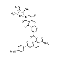 COc1ccc(C(=O)Oc2ccc(C(N)=O)c(OC(=O)c3cccc(C(=O)n4c(=O)c(F)cn([C@@H]5O[C@H](C)[C@@H](OC(C)=O)[C@H]5OC(C)=O)c4=O)c3)n2)cc1